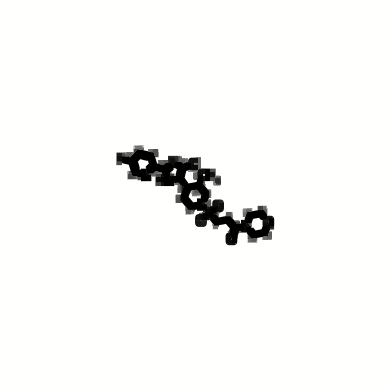 C[C@H]1CN(S(=O)(=O)CCC(=O)N2CCOCC2)CC[C@H]1c1[nH]c(-c2ccc(F)cn2)nc1Cl